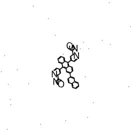 c1ccc2cc(-c3ccc4c(-c5ccnc(-c6cocn6)c5)c5ccccc5c(-c5ccnc(-c6cocn6)c5)c4c3)ccc2c1